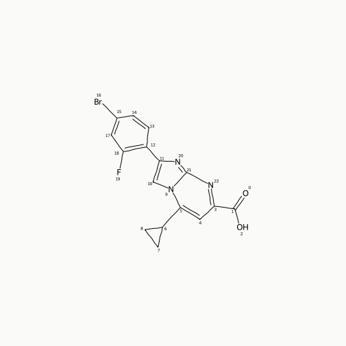 O=C(O)c1cc(C2CC2)n2cc(-c3ccc(Br)cc3F)nc2n1